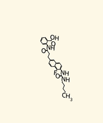 CCCCCNC(=O)Nc1ccc2cc(CCC(=O)Nc3ccccc3C(=O)O)ccc2c1F